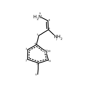 Cc1ccc(C/C(N)=C\N)nc1